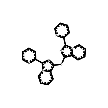 c1ccc(-c2nc(Sc3nc(-c4ccccn4)n4ccccc34)c3ccccn23)nc1